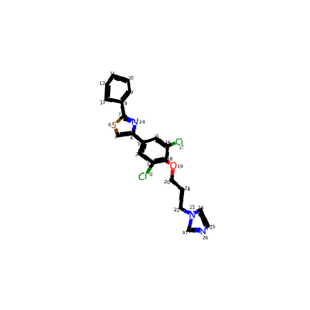 Clc1cc(-c2csc(-c3ccccc3)n2)cc(Cl)c1OCCCn1ccnc1